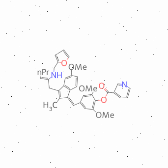 CCC/C=C(/CC1=C(C)/C(=C/c2cc(OC)c(OC(=O)c3cccnc3)c(OC)c2)c2ccc(OC)cc21)NCc1ccco1